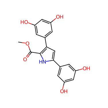 COC(=O)c1[nH]c(-c2cc(O)cc(O)c2)cc1-c1cc(O)cc(O)c1